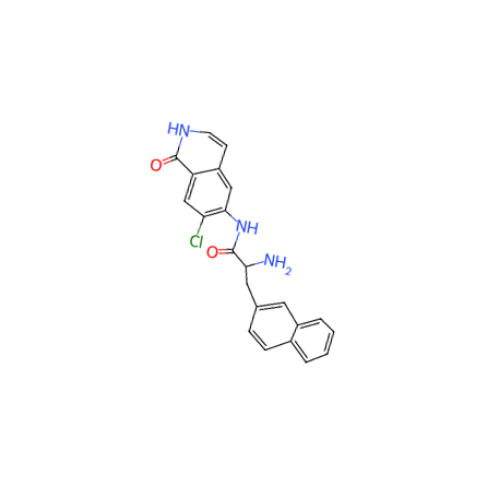 NC(Cc1ccc2ccccc2c1)C(=O)Nc1cc2cc[nH]c(=O)c2cc1Cl